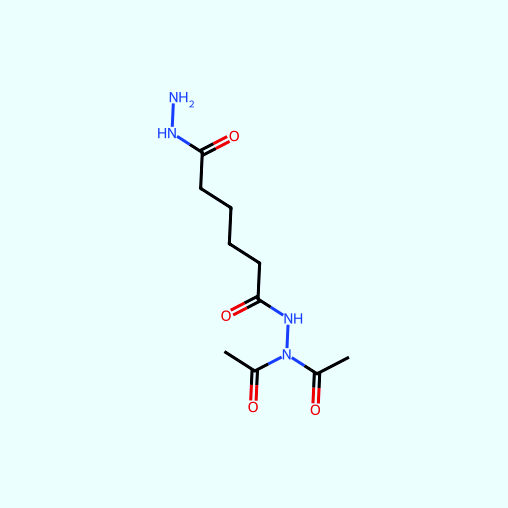 CC(=O)N(NC(=O)CCCCC(=O)NN)C(C)=O